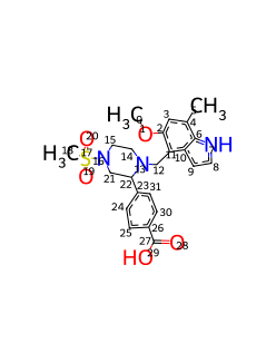 COc1cc(C)c2[nH]ccc2c1CN1CCN(S(C)(=O)=O)CC1c1ccc(C(=O)O)cc1